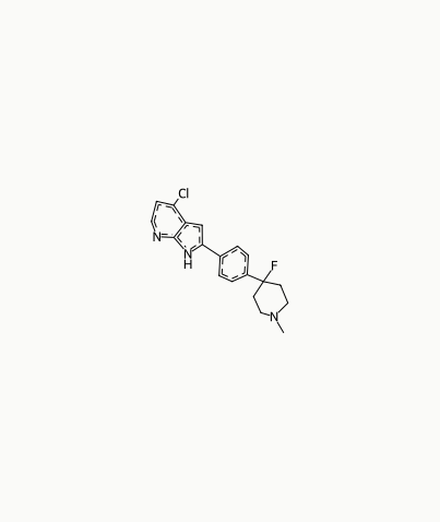 CN1CCC(F)(c2ccc(-c3cc4c(Cl)ccnc4[nH]3)cc2)CC1